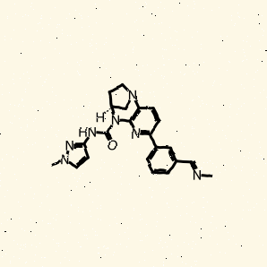 C/N=C/c1cccc(-c2ccc3c(n2)N(C(=O)Nc2ccn(C)n2)[C@H]2CCN3C2)c1